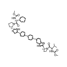 COC(=O)N[C@H](C(=O)N1CC[C@H]1c1nc2ccc(-c3ccc(-c4ccc(-c5cnc([C@@H]6CCCN6C(=O)[C@H](NC(=O)OC)c6ccccc6)[nH]5)cc4)cc3)cc2[nH]1)C(C)C